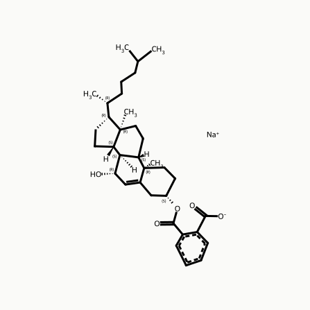 CC(C)CCC[C@@H](C)[C@H]1CC[C@H]2[C@@H]3[C@@H](O)C=C4C[C@@H](OC(=O)c5ccccc5C(=O)[O-])CC[C@]4(C)[C@H]3CC[C@]12C.[Na+]